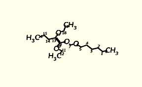 CCCCCCOCO/C(OCC)=C(/CCC)OCC